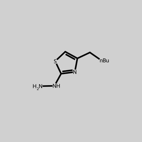 CCCCCc1csc(NN)n1